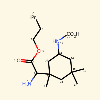 CC(C)CCOC(=O)C(N)C1(C)CC(NC(=O)O)CC(C)(C)C1